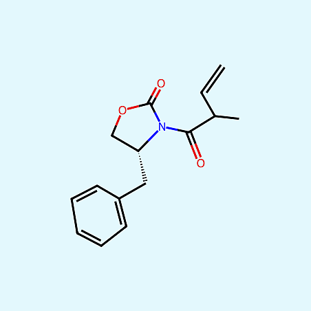 C=CC(C)C(=O)N1C(=O)OC[C@H]1Cc1ccccc1